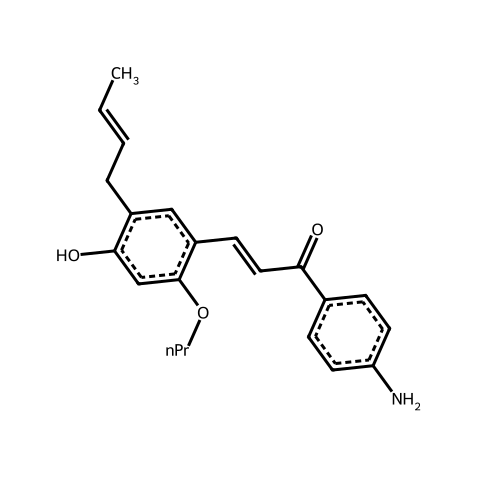 CC=CCc1cc(C=CC(=O)c2ccc(N)cc2)c(OCCC)cc1O